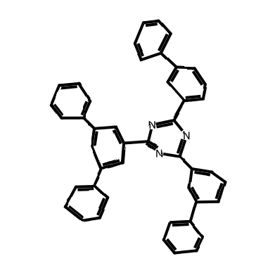 c1ccc(-c2cccc(-c3nc(-c4cccc(-c5ccccc5)c4)nc(-c4cc(-c5ccccc5)cc(-c5ccccc5)c4)n3)c2)cc1